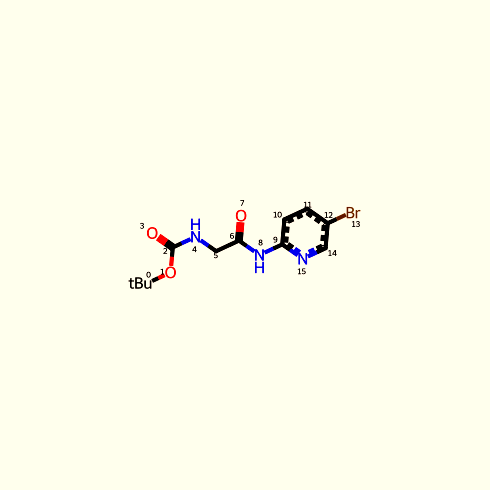 CC(C)(C)OC(=O)NCC(=O)Nc1ccc(Br)cn1